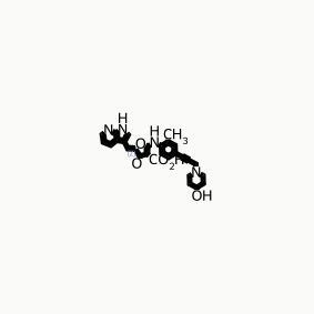 Cc1cc(C#CCN2CCC(O)CC2)ccc1NC1=C(C(=O)O)C(=O)/C(=C/c2c[nH]c3ncccc23)O1